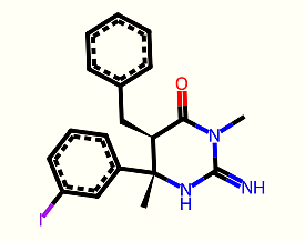 CN1C(=N)N[C@](C)(c2cccc(I)c2)[C@@H](Cc2ccccc2)C1=O